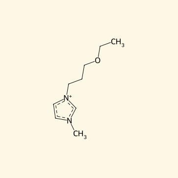 CCOCCC[n+]1ccn(C)c1